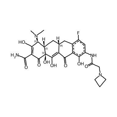 CN(C)[C@@H]1C(O)=C(C(N)=O)C(=O)[C@@]2(O)C(O)=C3C(=O)c4c(O)c(NC(=O)CN5CCC5)cc(F)c4C[C@H]3C[C@@H]12